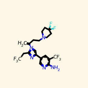 C=C(CCN1CCC(F)(F)CC1)n1cc(-c2cnc(N)c(C(F)(F)F)c2)nc1CC(F)(F)F